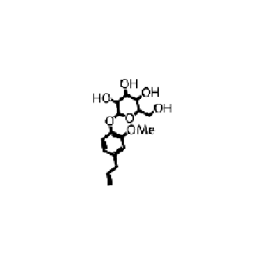 C=CCc1ccc(OC2OC(CO)C(O)C(O)C2O)c(OC)c1